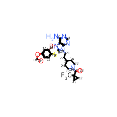 Nc1ncnc2c1nc(Sc1cc3c(cc1Br)OCO3)n2CCC1CCN(C(=O)C2(C(F)(F)F)CC2)CC1